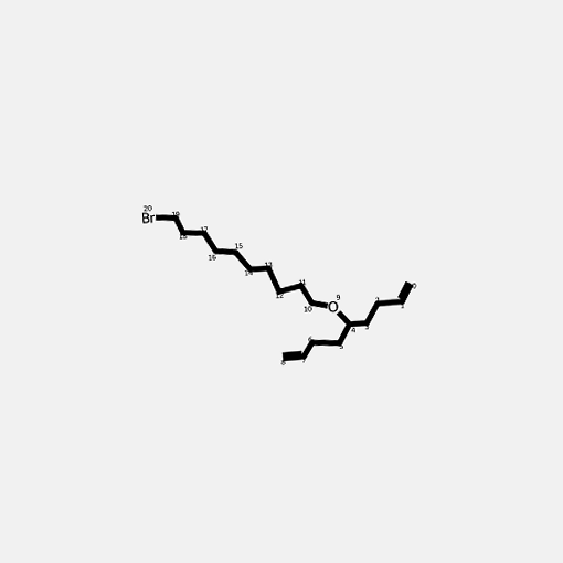 C=CCCC(CCC=C)OCCCCCCCCCCBr